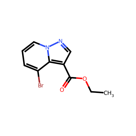 CCOC(=O)c1cnn2cccc(Br)c12